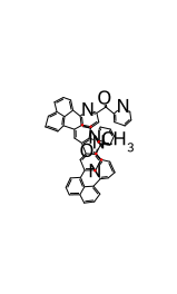 Cn1c2ccc(-c3cccc4cccc(-c5cccc(C(=O)c6ccccn6)n5)c34)cc2c2cc(-c3cccc4cccc(-c5cccc(C(=O)c6ccccn6)n5)c34)ccc21